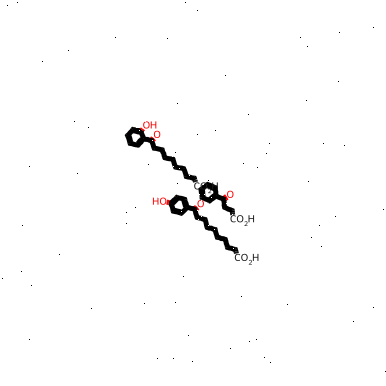 O=C(O)CCC(=O)c1ccccc1.O=C(O)CCCCCCCCC(=O)c1ccc(O)cc1.O=C(O)CCCCCCCCC(=O)c1ccccc1O